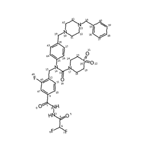 O=C(NNC(=O)C(F)F)c1ccc(CN(C(=O)N2CCS(=O)(=O)CC2)c2ccc(CN3CCN(Cc4ccccc4)CC3)cc2)c(F)c1